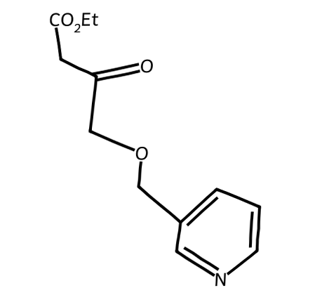 CCOC(=O)CC(=O)COCc1cccnc1